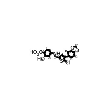 O=C(O)c1ccc(NSc2cc(-c3ccc4c(c3)OCO4)c(Cl)s2)cc1O